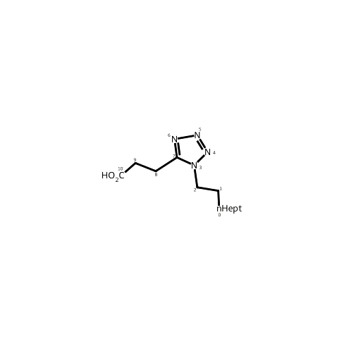 CCCCCCCCCn1nnnc1CCC(=O)O